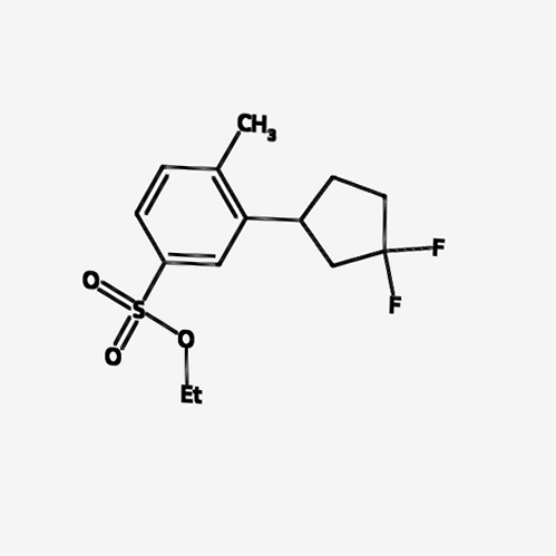 CCOS(=O)(=O)c1ccc(C)c(C2CCC(F)(F)C2)c1